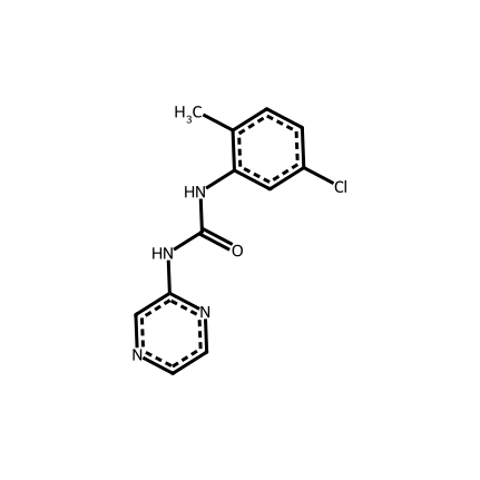 Cc1ccc(Cl)cc1NC(=O)Nc1cnccn1